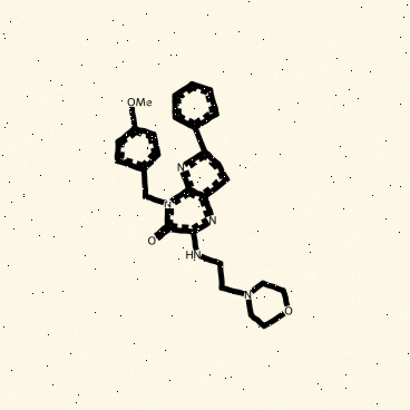 COc1ccc(Cn2c(=O)c(NCCN3CCOCC3)nc3ccc(-c4ccccc4)nc32)cc1